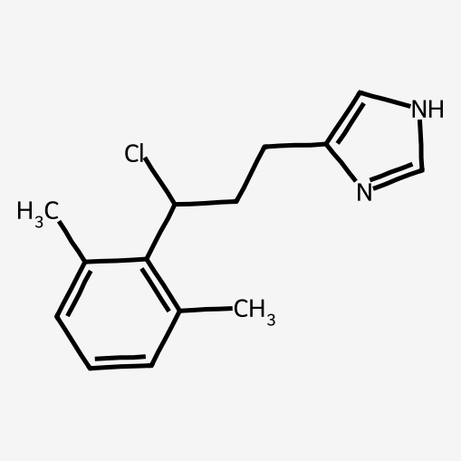 Cc1cccc(C)c1C(Cl)CCc1c[nH]cn1